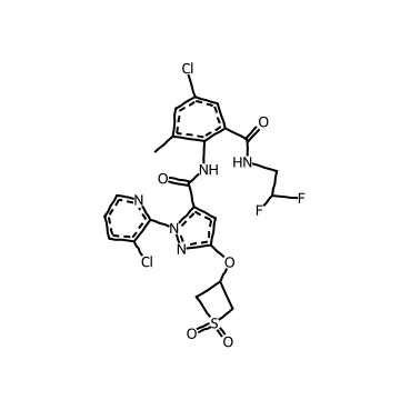 Cc1cc(Cl)cc(C(=O)NCC(F)F)c1NC(=O)c1cc(OC2CS(=O)(=O)C2)nn1-c1ncccc1Cl